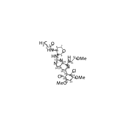 C=CC(=O)N[C@H]1CCOC[C@H]1Nc1ncc2cc(-c3c(Cl)c(OC)cc(OC)c3Cl)nc(NCCOC)c2n1